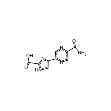 NC(=O)c1cnc(-c2c[nH]c(C(=O)O)n2)cn1